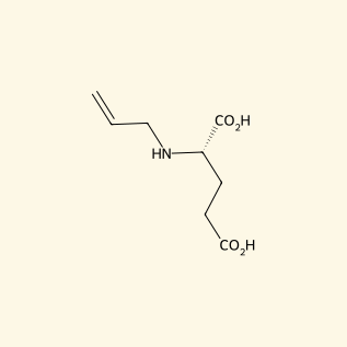 C=CCN[C@@H](CCC(=O)O)C(=O)O